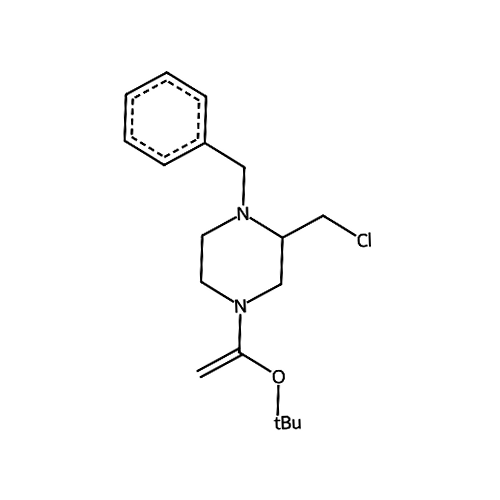 C=C(OC(C)(C)C)N1CCN(Cc2ccccc2)C(CCl)C1